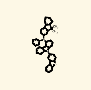 CC1(C)c2ccccc2-c2ccc(N(c3ccccc3)c3cccc4c3c3ccccc3n4-c3ccc4sc5ccccc5c4c3)cc21